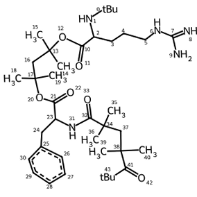 CC(C)(C)NC(CCCNC(=N)N)C(=O)OC(C)(C)CC(C)(C)OC(=O)C(Cc1ccccc1)NC(=O)C(C)(C)CC(C)(C)C(=O)C(C)(C)C